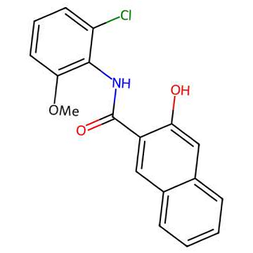 COc1cccc(Cl)c1NC(=O)c1cc2ccccc2cc1O